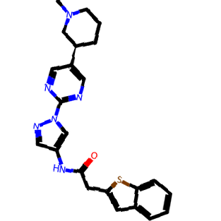 CN1CCC[C@@H](c2cnc(-n3cc(NC(=O)Cc4cc5ccccc5s4)cn3)nc2)C1